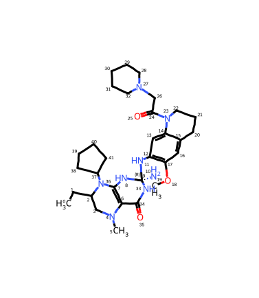 CCC1CN(C)C2=C(N[C@@](N)(Nc3cc4c(cc3OC)CCCN4C(=O)CN3CCCCC3)NC2=O)N1C1CCCC1